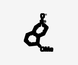 COc1cccc2c[n+]([O-])ccc12